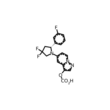 O=C(O)Oc1cnn2ccc(N3CC(F)(F)C[C@@H]3c3cccc(F)c3)cc12